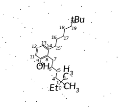 CCC(C)(C)CCCCc1c(O)cccc1CCCCCC(C)(C)C